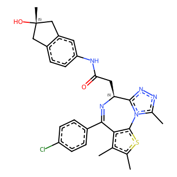 Cc1sc2c(c1C)C(c1ccc(Cl)cc1)=N[C@@H](CC(=O)Nc1ccc3c(c1)C[C@@](C)(O)C3)c1nnc(C)n1-2